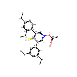 CCc1cc(CC)cc(-c2cn(OC(C)=O)cc(-c3ccc(CC)cc3CC)c2=S)c1